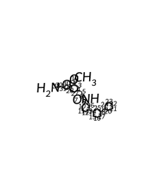 COc1cc(CC(=O)Nc2cccc(-c3cccc(-c4ccccc4)c3)c2)ccc1OCCN